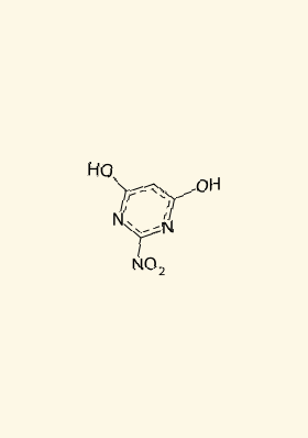 O=[N+]([O-])c1nc(O)cc(O)n1